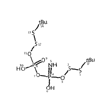 CC(C)(C)SSOP(=N)(O)OP(=O)(O)OSSC(C)(C)C